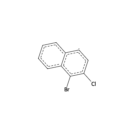 Clc1c[c]c2ccccc2c1Br